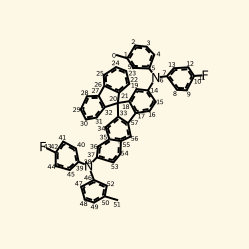 Cc1cccc(N(c2ccc(F)cc2)c2ccc3c(c2)C2(c4ccccc4-c4ccccc42)c2cc4cc(N(c5ccc(F)cc5)c5cccc(C)c5)ccc4cc2-3)c1